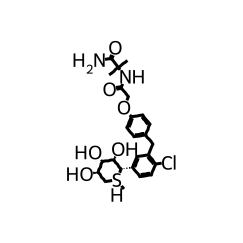 C[SH]1C[C@@H](O)[C@@H](O)[C@@H](O)[C@@H]1c1ccc(Cl)c(Cc2ccc(OCC(=O)NC(C)(C)C(N)=O)cc2)c1